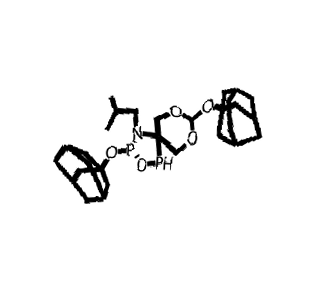 CC(C)CN1P(OC23CC4CC(CC(C4)C2)C3)OPC12COC(OC13CC4CC(CC(C4)C1)C3)OC2